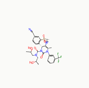 [C-]#[N+]C1=C(C)N(c2cccc(C(F)(F)F)c2)C(=O)N(C(=O)N(CC(C)O)CC(C)O)[C@@H]1c1ccc(C#N)cc1S(C)(=O)=O